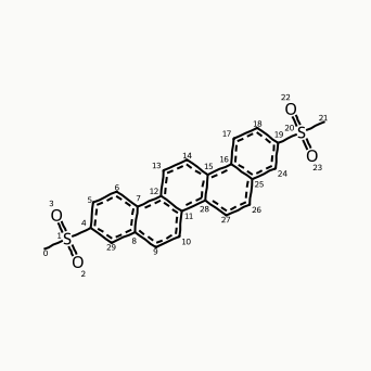 CS(=O)(=O)c1ccc2c(ccc3c2ccc2c4ccc(S(C)(=O)=O)cc4ccc23)c1